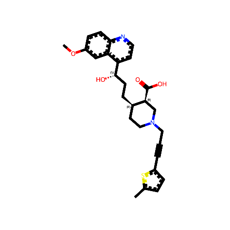 COc1ccc2nccc([C@@H](O)CC[C@@H]3CCN(CC#Cc4ccc(C)s4)C[C@@H]3C(=O)O)c2c1